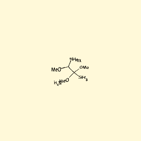 CCCCCCC(OC)C([SiH3])(OC)OC.[SiH4]